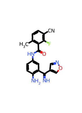 Cc1ccc(C#N)c(F)c1C(=O)Nc1ccc(N)c(C(=N)c2cnoc2)c1